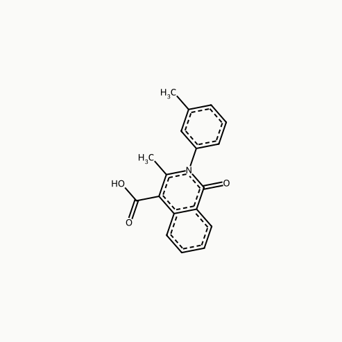 Cc1cccc(-n2c(C)c(C(=O)O)c3ccccc3c2=O)c1